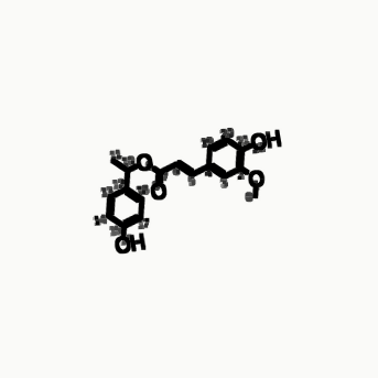 COc1cc(C=CC(=O)OC(C)c2ccc(O)cc2)ccc1O